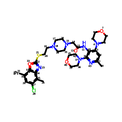 Cc1cc(N2CCOCC2)c(NC(=O)CN2CCN(CCSc3nc4c(C)c(Cl)cc(C(C)C)c4o3)CC2)c(N2CCOCC2)n1